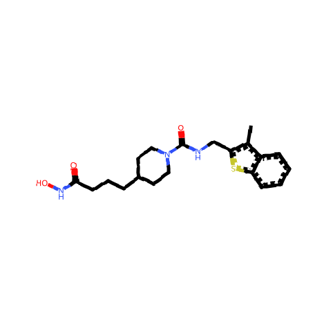 Cc1c(CNC(=O)N2CCC(CCCC(=O)NO)CC2)sc2ccccc12